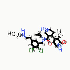 Cc1c(C2CCNCC2C(=O)N(Cc2cc(CCNC(=O)O)cc(Cl)c2Cl)C2CC2)cc[nH]c1=O